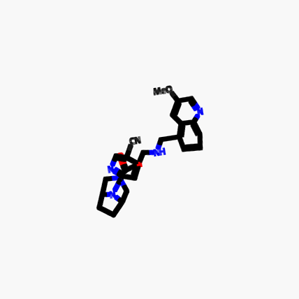 COc1cnc2cccc(CNCCC(=O)N3CC4CCC(C3)N4c3ccc(C#N)cn3)c2c1